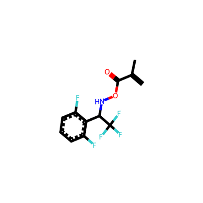 C=C(C)C(=O)ONC(c1c(F)cccc1F)C(F)(F)F